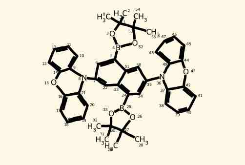 CC1(C)OB(c2cc(N3c4ccccc4Oc4ccccc43)cc3c(B4OC(C)(C)C(C)(C)O4)cc(N4c5ccccc5Oc5ccccc54)cc23)OC1(C)C